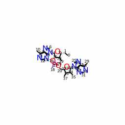 CC[C@H]1O[C@@H](n2cnc3c(C)ncnc32)C(OP(C)OC[C@H]2O[C@@H](n3cnc4c(C)ncnc43)C(C)C2C)C1C